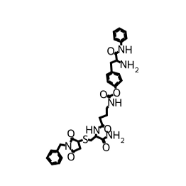 NC(=O)C(CSC1CC(=O)N(Cc2ccccc2)C1=O)NC(=O)CCCNC(=O)Oc1ccc(CC(N)C(=O)Nc2ccccc2)cc1